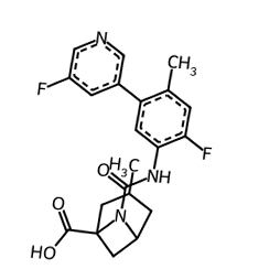 Cc1cc(F)c(NC(=O)N2C3CC(C)CC2(C(=O)O)C3)cc1-c1cncc(F)c1